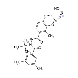 Cc1cc(C)cc(C(=O)N(NC(=O)c2ccc3c(c2C)O[C@@H](/C=N\O)CO3)C(C)(C)C)c1